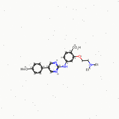 CCN(CC)CCOc1cc(Nc2ncc(-c3ccc(OC)cc3)cn2)ccc1C(=O)O